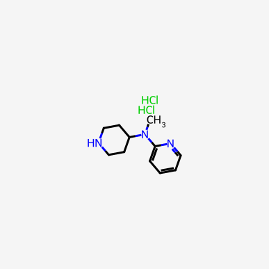 CN(c1ccccn1)C1CCNCC1.Cl.Cl